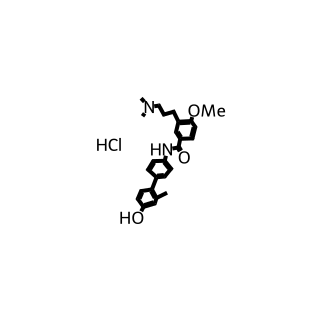 COc1ccc(C(=O)Nc2ccc(-c3ccc(O)cc3C)cc2)cc1CCCN(C)C.Cl